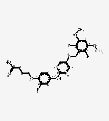 COc1cc(OC)c(F)c(COc2cnc(Nc3ccc(OCCCC(=O)O)c(F)c3)nc2)c1F